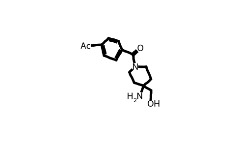 CC(=O)c1ccc(C(=O)N2CCC(N)(CO)CC2)cc1